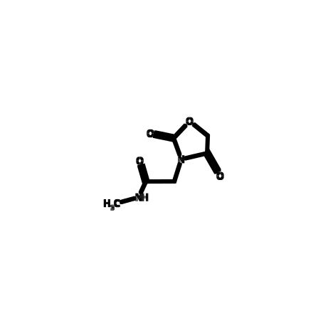 CNC(=O)CN1C(=O)COC1=O